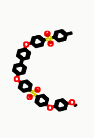 COc1ccc(Oc2ccc(S(=O)(=O)c3ccc(Oc4ccc(-c5ccc(Oc6ccc(S(=O)(=O)c7ccc(C)cc7)cc6)cc5)cc4)cc3)cc2)cc1